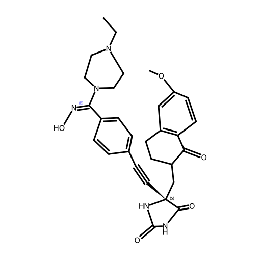 CCN1CCN(/C(=N/O)c2ccc(C#C[C@]3(CC4CCc5cc(OC)ccc5C4=O)NC(=O)NC3=O)cc2)CC1